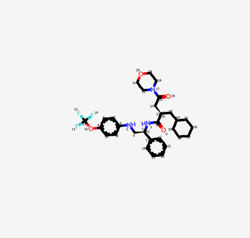 O=C(N[C@H](CNc1ccc(OC(F)(F)F)cc1)c1ccccc1)[C@@H](CC(=O)N1CCOCC1)CC1CCCCC1